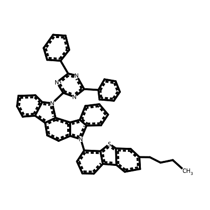 CCCCc1ccc2c(c1)sc1c(-n3c4ccccc4c4c3ccc3c5ccccc5n(-c5nc(-c6ccccc6)nc(-c6ccccc6)n5)c34)cccc12